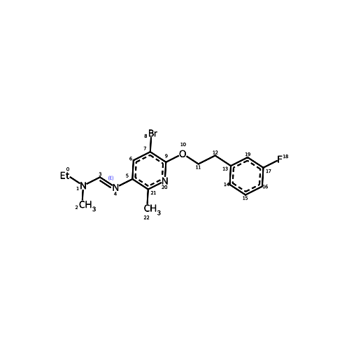 CCN(C)/C=N/c1cc(Br)c(OCCc2cccc(F)c2)nc1C